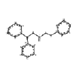 c1ccc(CCNCC(c2ccccc2)c2ccccc2)cc1